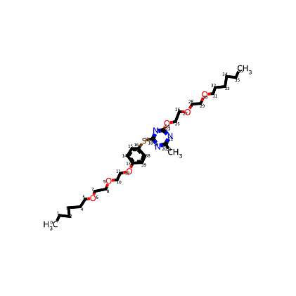 CCCCCCOCCOCCOc1ccc(Sc2nc(C)nc(OCCOCCOCCCCCC)n2)cc1